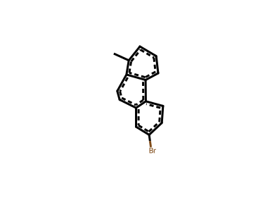 Cc1cccc2c1ccc1cc(Br)ccc12